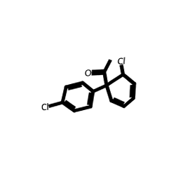 CC(=O)C1(c2ccc(Cl)cc2)C=CC=CC1Cl